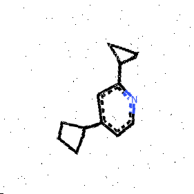 c1cc(C2CCC2)cc(C2CC2)n1